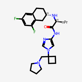 CCC[C@H](N[C@H]1CCc2cc(F)cc(F)c2C1)C(=O)Nc1cn(C2(CN3CCCC3)CCC2)cn1